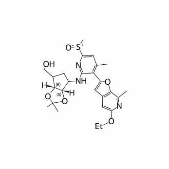 CCOc1cc2cc(-c3c(C)cc([S+](C)[O-])nc3NC3CC(CO)[C@H]4OC(C)(C)O[C@@H]34)oc2c(C)n1